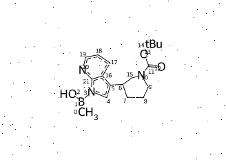 CB(O)n1cc(C2CCCN(C(=O)OC(C)(C)C)C2)c2cccnc21